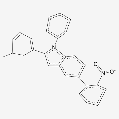 CC1C=CC=C(c2cc3cc(-c4ccccc4[N+](=O)[O-])ccc3n2-c2ccccc2)C1